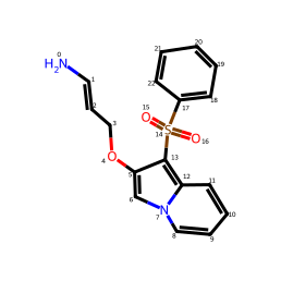 NC=CCOc1cn2ccccc2c1S(=O)(=O)c1ccccc1